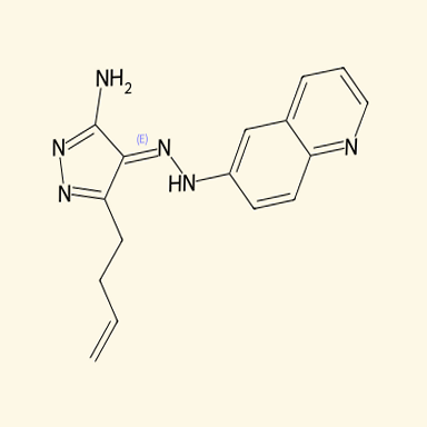 C=CCCC1=NN=C(N)/C1=N/Nc1ccc2ncccc2c1